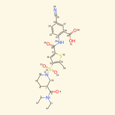 CCN(CC)C(=O)C1CCCN(S(=O)(=O)c2cc(C(=O)Nc3ccc(C#N)cc3C(=O)O)sc2C)C1